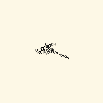 Cc1ncsc1-c1ccc(CNC(=O)[C@@H]2C[C@@H](O)CN2C(=O)[C@@H](NCCOCCOCCOCCOCCI)C(C)(C)C)cc1